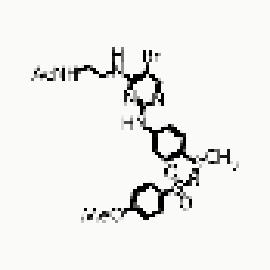 COc1ccc(S(=O)(=O)N=S(C)c2ccc(Nc3ncc(Br)c(NCCNC(C)=O)n3)cc2)cc1